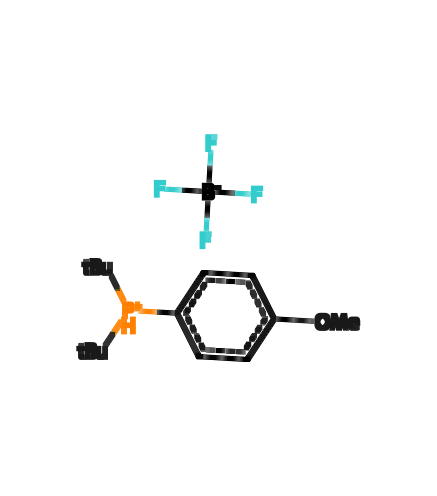 COc1ccc([PH+](C(C)(C)C)C(C)(C)C)cc1.F[B-](F)(F)F